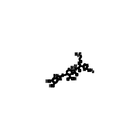 C=CCON=C(C(=O)N[C@@H]1C(=O)N2C(C(=O)O)=C(CSc3nc4cc(O)c(O)cc4[nH]3)CS[C@@H]12)c1csc(N)n1